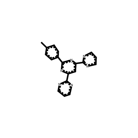 Cc1ccc(-c2nc(-c3ncccn3)cc(-c3ncccn3)n2)cc1